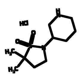 CC1(C)CCN(C2CCCNC2)S1(=O)=O.Cl